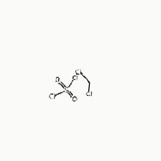 ClCCl.O=S(=O)(Cl)Cl